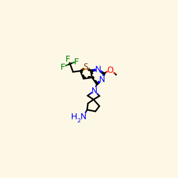 COc1nc(N2CC3(CCC(N)C3)C2)c2cc(CC(F)(F)F)sc2n1